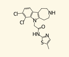 Cc1cnc(NC(=O)Cn2c3c(c4ccc(Cl)c(Cl)c42)CCNCC3)s1